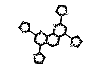 c1csc(-c2cc(-c3cccs3)c3ccc4c(-c5cccs5)cc(-c5cccs5)nc4c3n2)c1